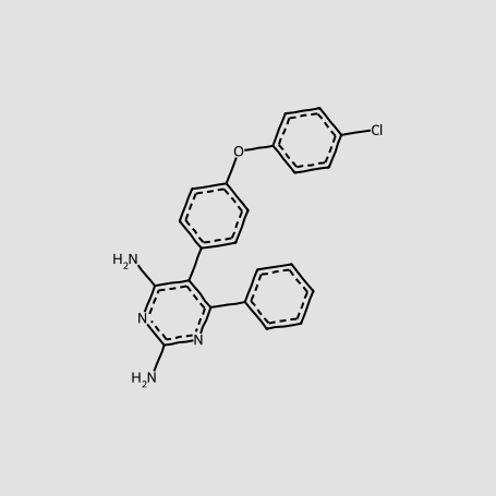 Nc1nc(N)c(-c2ccc(Oc3ccc(Cl)cc3)cc2)c(-c2ccccc2)n1